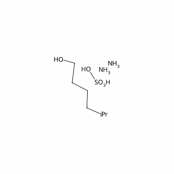 CC(C)CCCCO.N.N.O=S(=O)(O)O